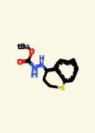 CC(C)(C)OC(=O)NNC1CCSc2ccccc21